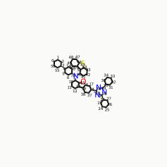 c1ccc(-c2ccc(N(c3cccc4c3oc3cc(-c5nc(-c6ccccc6)nc(-c6ccccc6)n5)ccc34)c3cccc4sc5ccccc5c34)cc2)cc1